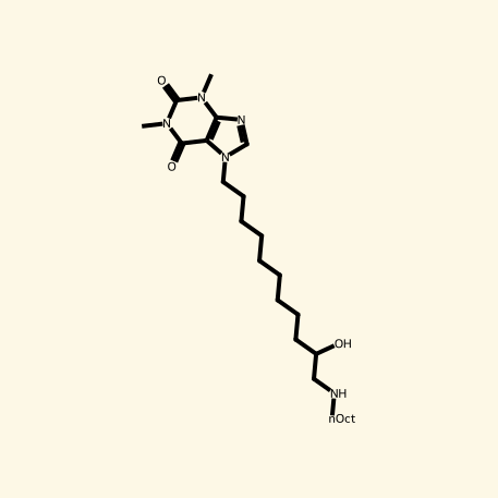 CCCCCCCCNCC(O)CCCCCCCCCn1cnc2c1c(=O)n(C)c(=O)n2C